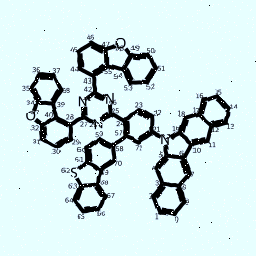 c1ccc2cc3c(cc2c1)c1cc2ccccc2cc1n3-c1ccc(-c2nc(-c3cccc4oc5ccccc5c34)nc(-c3cccc4oc5ccccc5c34)n2)c(-c2ccc3sc4ccccc4c3c2)c1